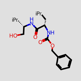 CC(C)C[C@H](NC(=O)OCc1ccccc1)C(=O)N[C@H](CO)C(C)C